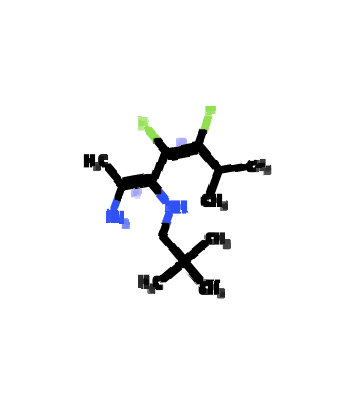 C/C(N)=C(NCC(C)(C)C)\C(F)=C(\F)C(C)C